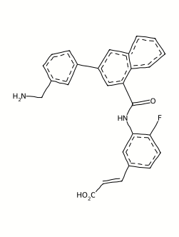 NCc1cccc(-c2cc(C(=O)Nc3cc(C=CC(=O)O)ccc3F)c3ccccc3c2)c1